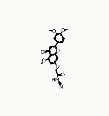 COc1ccc(-c2cc(=O)c3c(OC)cc(OCC(=O)NC#N)cc3o2)cc1OC